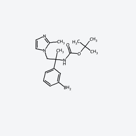 Bc1cccc(C(C)(Cn2ccnc2C)NC(=O)OC(C)(C)C)c1